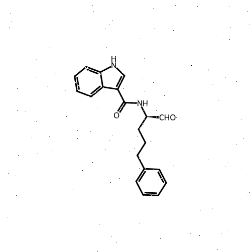 O=[C][C@@H](CCCc1ccccc1)NC(=O)c1c[nH]c2ccccc12